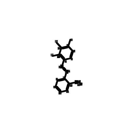 Cc1ccc(N=Nc2ccccc2N)c(C)c1C